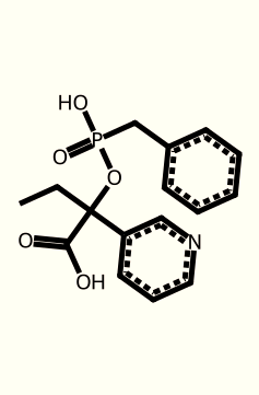 CCC(OP(=O)(O)Cc1ccccc1)(C(=O)O)c1cccnc1